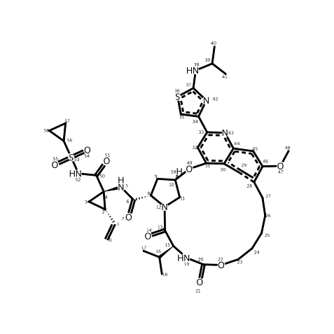 C=C[C@@H]1C[C@]1(NC(=O)[C@@H]1C[C@@H]2CN1C(=O)[C@H](C(C)C)NC(=O)OCCCCCc1cc3c(cc(-c4csc(NC(C)C)n4)nc3cc1OC)O2)C(=O)NS(=O)(=O)C1CC1